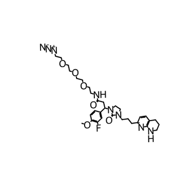 COc1ccc(C(CC(=O)NCCOCCOCCOCCN=[N+]=[N-])N2CCN(CCCc3ccc4c(n3)NCCC4)C2=O)cc1F